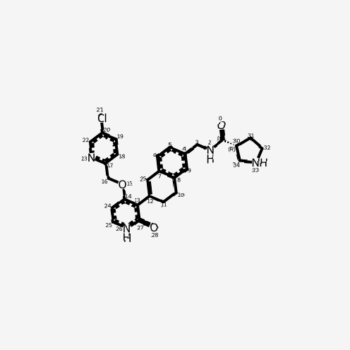 O=C(NCc1ccc2c(c1)CCC(c1c(OCc3ccc(Cl)cn3)cc[nH]c1=O)=C2)[C@@H]1CCNC1